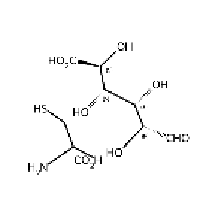 NC(CS)C(=O)O.O=C[C@H](O)[C@@H](O)[C@H](O)[C@H](O)C(=O)O